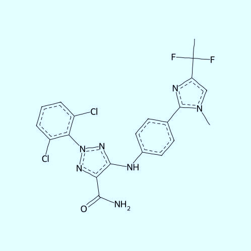 Cn1cc(C(C)(F)F)nc1-c1ccc(Nc2nn(-c3c(Cl)cccc3Cl)nc2C(N)=O)cc1